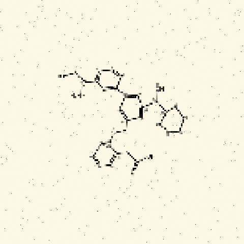 N[C@H](CO)c1cccc(-c2cc(COc3ccccc3CC(=O)O)cc(C(O)C3CCCCC3)c2)c1